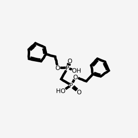 O=P(O)(CP(=O)(O)OCc1ccccc1)OCc1ccccc1